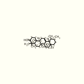 CC[C@]12CC[C@@H](C)[C@H](C)[C@H]1C1=CC[C@@H]3[C@@]4(C)CC[C@H](O)C(C)(C)C4CC[C@@]3(C)[C@]1(C)CC2